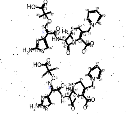 CC(C)(O/N=C(\C(=O)N[C@@H]1C(=O)N2C(C(=O)[O-])=C(C[n+]3ccccc3)CS[C@H]12)c1csc(N)n1)C(=O)O.CC(C)(O/N=C(\C(=O)N[C@@H]1C(=O)N2C(C(=O)[O-])=C(C[n+]3ccccc3)CS[C@H]12)c1csc(N)n1)C(=O)O